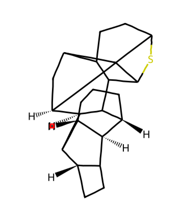 C1C[C@H]2C3C4C5CC6C[C@@H](C(CCC64)S5)[C@@H]3C3[C@H]4CCC4[C@H]2[C@H]3C1